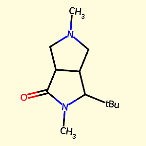 CN1CC2C(=O)N(C)C(C(C)(C)C)C2C1